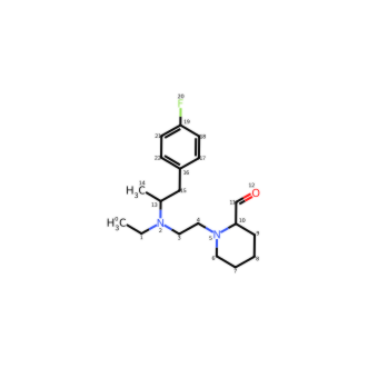 CCN(CCN1CCCCC1C=O)C(C)Cc1ccc(F)cc1